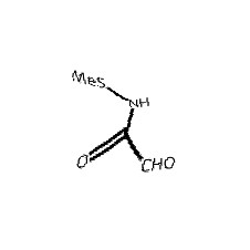 CSNC(=O)C=O